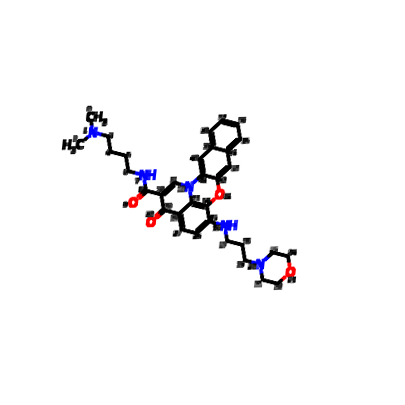 CN(C)CCCCNC(=O)c1cn2c3c(c(NCCCN4CCOCC4)ccc3c1=O)Oc1cc3ccccc3cc1-2